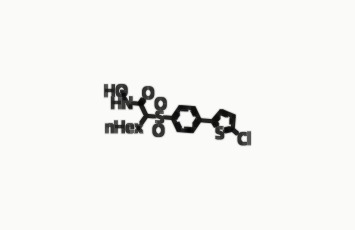 CCCCCCC(C(=O)NO)S(=O)(=O)c1ccc(-c2ccc(Cl)s2)cc1